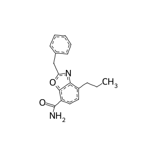 CCCc1ccc(C(N)=O)c2oc(Cc3ccccc3)nc12